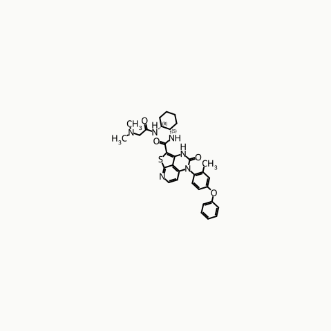 Cc1cc(Oc2ccccc2)ccc1N1C(=O)Nc2c(C(=O)N[C@H]3CCCC[C@H]3NC(=O)CN(C)C)sc3nccc1c23